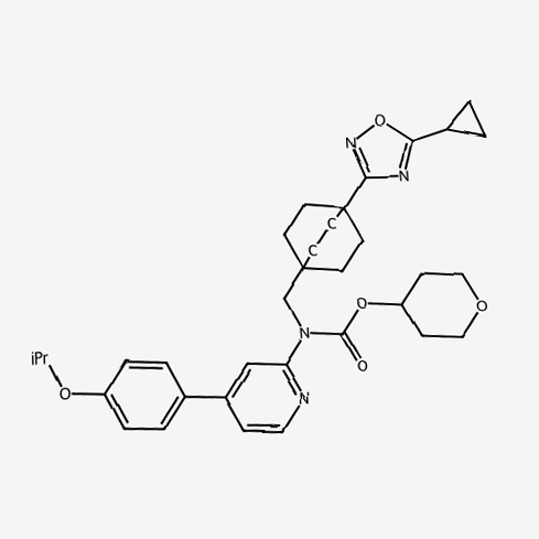 CC(C)Oc1ccc(-c2ccnc(N(CC34CCC(c5noc(C6CC6)n5)(CC3)CC4)C(=O)OC3CCOCC3)c2)cc1